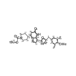 COc1c(F)cc(Cc2nnc(-c3cnn4c(C5CCN(C(=O)OC(C)(C)C)CC5)cc(=O)[nH]c34)o2)cc1F